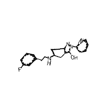 Oc1c2c(nn1-c1ccccn1)CCC(NCCc1cccc(F)c1)C2